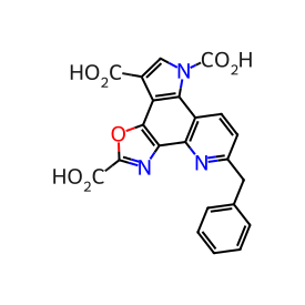 O=C(O)c1nc2c3nc(Cc4ccccc4)ccc3c3c(c(C(=O)O)cn3C(=O)O)c2o1